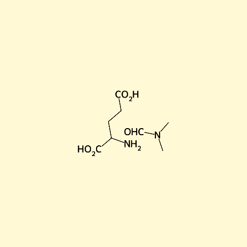 CN(C)C=O.NC(CCC(=O)O)C(=O)O